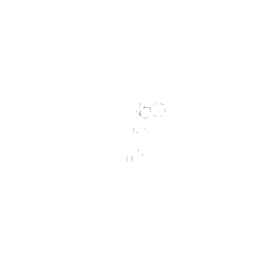 CC(C)n1nc(C(=O)N[C@@H]2CC[C@H](CC3(O)CCOCC3)NC2)c2ccccc21